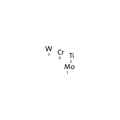 [Cr].[Mo].[Ti].[W]